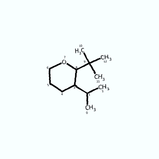 CC(C)C1CCCOC1C(C)(C)C